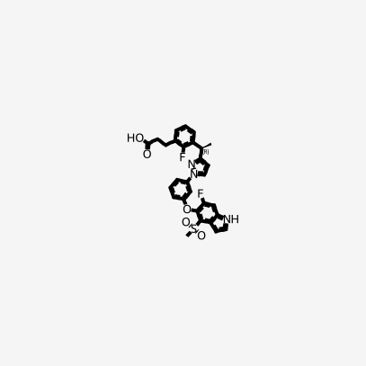 C[C@@H](c1ccn(-c2cccc(Oc3c(F)cc4[nH]ccc4c3S(C)(=O)=O)c2)n1)c1cccc(CCC(=O)O)c1F